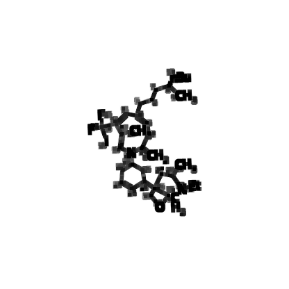 C=C1C\C=C(CCC[C@H](C)CCCC)/C=C(C(F)(F)I)\C(C)=C\N1C1CC=CC(C2(CC(C)N(C)CC)COC2)C1